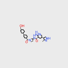 Cc1n[nH]cc1-c1cnc(N)c(C(=O)N[C@@H]2CCN(C(=O)c3ccc(-c4ccc(CO)cc4)cc3)C2)c1